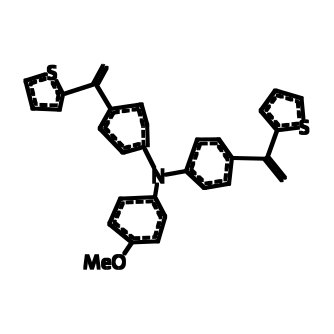 C=C(c1ccc(N(c2ccc(OC)cc2)c2ccc(C(=C)c3cccs3)cc2)cc1)c1cccs1